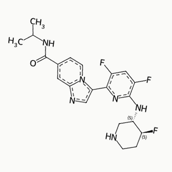 CC(C)NC(=O)c1ccn2c(-c3nc(N[C@H]4CNCC[C@@H]4F)c(F)cc3F)cnc2c1